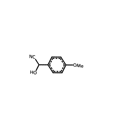 COc1ccc(C(O)C#N)cc1